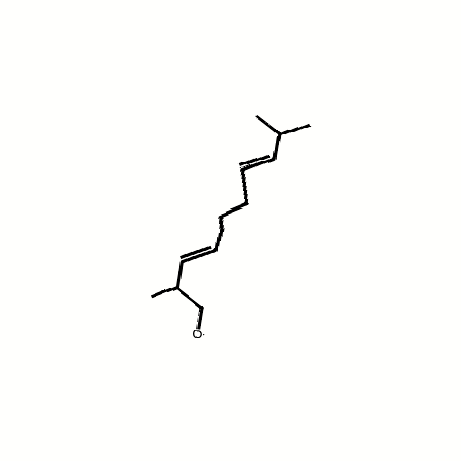 CC(C)C=CCCC=CC(C)C[O]